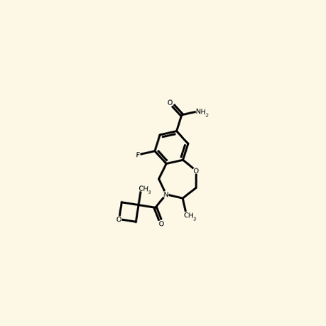 CC1COc2cc(C(N)=O)cc(F)c2CN1C(=O)C1(C)COC1